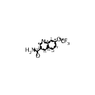 NC(=O)c1cnc2cc(OC(F)(F)F)ccc2c1